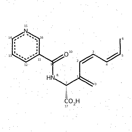 C=C(/C=C\C=C/C)[C@@H](NC(=O)c1cccnc1)C(=O)O